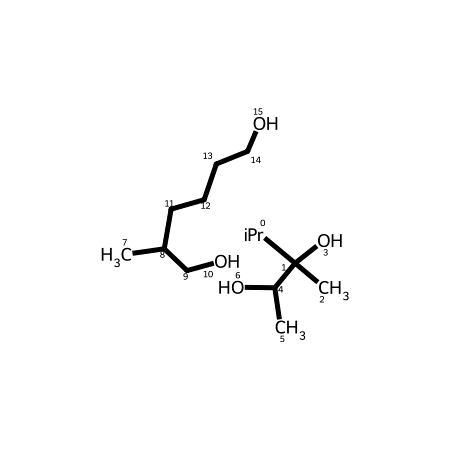 CC(C)C(C)(O)C(C)O.CC(CO)CCCCO